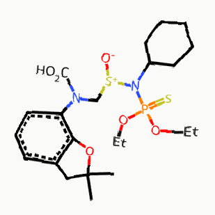 CCOP(=S)(OCC)N(C1CCCCC1)[S+]([O-])CN(C(=O)O)c1cccc2c1OC(C)(C)C2